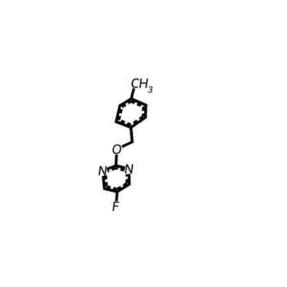 Cc1ccc(COc2ncc(F)cn2)cc1